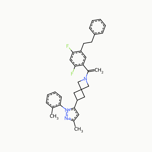 C=C(c1cc(CCc2ccccc2)c(F)cc1F)N1CC2(CC(c3cc(C)nn3-c3ccccc3C)C2)C1